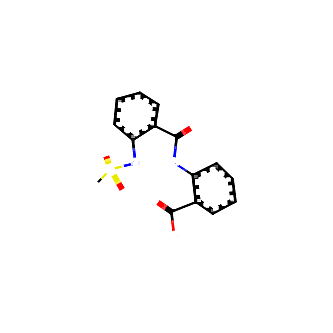 CS(=O)(=O)Nc1ccccc1C(=O)Nc1ccccc1C(=O)O